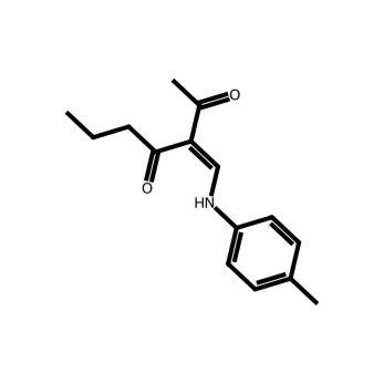 CCCC(=O)/C(=C\Nc1ccc(C)cc1)C(C)=O